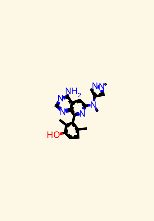 Cc1ccc(O)c(C)c1-c1nc(N(C)c2cnn(C)c2)cc2c(N)ncnc12